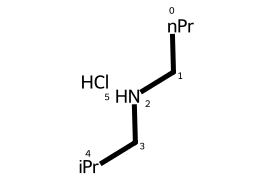 CCCCNCC(C)C.Cl